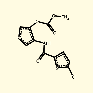 COC(=O)Oc1cscc1[AsH]C(=O)c1ccc(Cl)s1